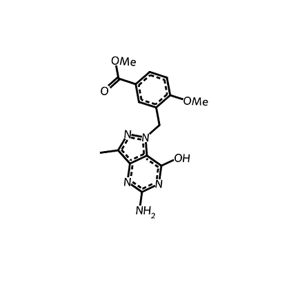 COC(=O)c1ccc(OC)c(Cn2nc(C)c3nc(N)nc(O)c32)c1